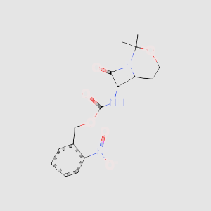 CC1(C)OCC[C@H]2[C@@H](NC(=O)OCc3ccccc3[N+](=O)[O-])C(=O)N21